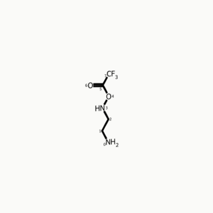 NCCNOC(=O)C(F)(F)F